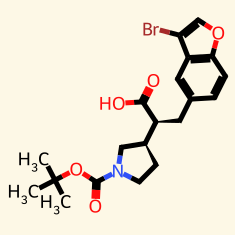 CC(C)(C)OC(=O)N1CC[C@H]([C@H](Cc2ccc3occ(Br)c3c2)C(=O)O)C1